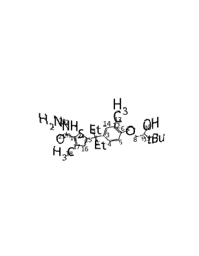 CCC(CC)(c1ccc(OCC(O)C(C)(C)C)c(C)c1)c1cc(C)c(C(=O)NN)s1